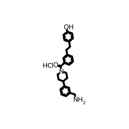 Cl.NCc1cccc(C2CCN(C(=O)c3cccc(CCc4ccc(O)cc4)c3)CC2)c1